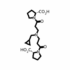 O=C(O)[C@H]1CCCN1C(=O)CCN(CCC(=O)N1CCC[C@@H]1C(=O)O)CC1CC1